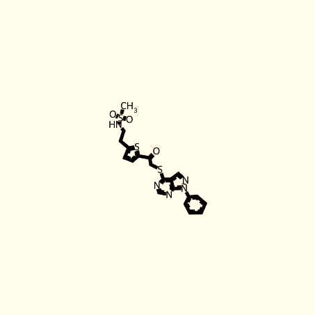 CS(=O)(=O)NCCc1ccc(C(=O)CSc2ncnc3c2cnn3-c2ccccc2)s1